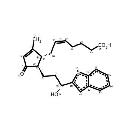 CC1=CC(=O)[C@H](CC[C@@H](O)c2cc3ccccc3s2)[C@H]1C/C=C\CCCC(=O)O